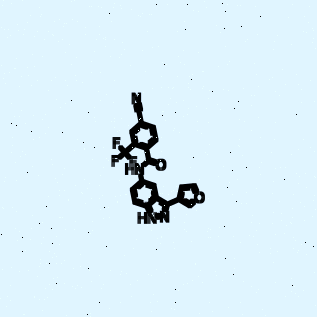 N#Cc1ccc(C(=O)Nc2ccc3[nH]nc(-c4ccoc4)c3c2)c(C(F)(F)F)c1